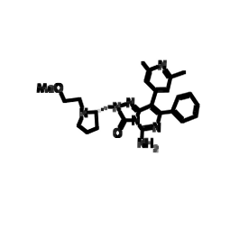 COCCN1CCC[C@H]1Cn1nc2c(-c3cc(C)nc(C)c3)c(-c3ccccc3)nc(N)n2c1=O